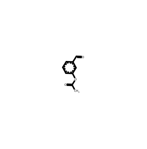 CC(=O)Oc1cccc(C=O)c1